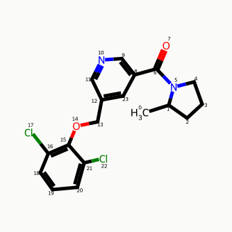 CC1CCCN1C(=O)c1cncc(COc2c(Cl)cccc2Cl)c1